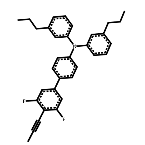 CC#Cc1c(F)cc(-c2ccc(N(c3cccc(CCC)c3)c3cccc(CCC)c3)cc2)cc1F